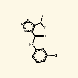 O=C(Nc1cccc(Cl)c1)c1snnc1C(F)F